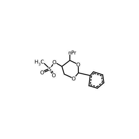 CCCC1OC(c2ccccc2)OCC1OS(C)(=O)=O